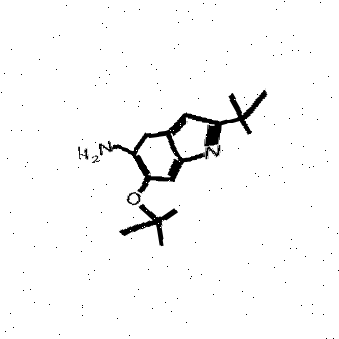 CC(C)(C)OC1=C(N)CC2=CC(C(C)(C)C)=NC2=C1